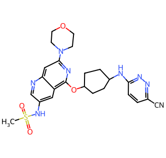 CS(=O)(=O)Nc1cnc2cc(N3CCOCC3)nc(OC3CCC(Nc4ccc(C#N)nn4)CC3)c2c1